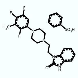 Cc1c(F)c(F)cc(N2CCN(CCn3c(=O)[nH]c4ccccc43)CC2)c1F.O=S(=O)(O)c1ccccc1